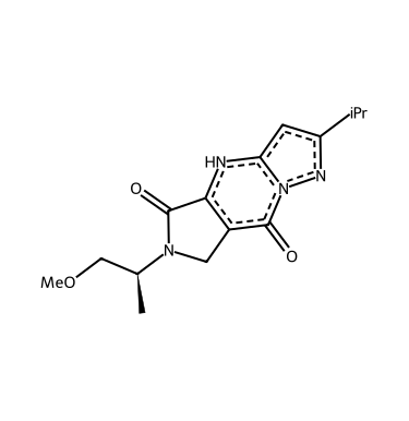 COC[C@H](C)N1Cc2c([nH]c3cc(C(C)C)nn3c2=O)C1=O